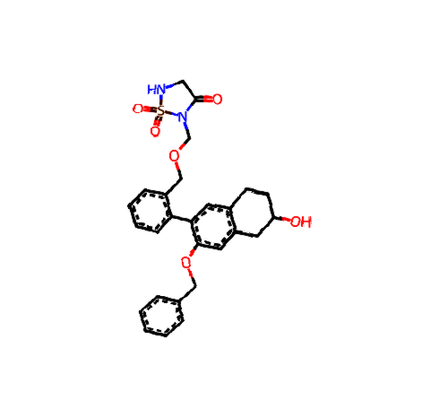 O=C1CNS(=O)(=O)N1COCc1ccccc1-c1cc2c(cc1OCc1ccccc1)CC(O)CC2